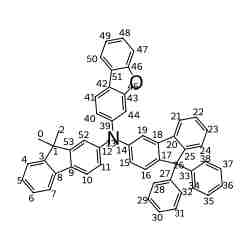 CC1(C)c2ccccc2-c2ccc(N(c3ccc4c(c3)-c3ccccc3C4(c3ccccc3)c3ccccc3)c3ccc4c(c3)oc3ccccc34)cc21